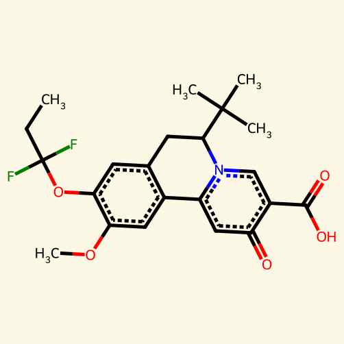 CCC(F)(F)Oc1cc2c(cc1OC)-c1cc(=O)c(C(=O)O)cn1C(C(C)(C)C)C2